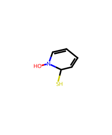 ON1C=CC=CC1S